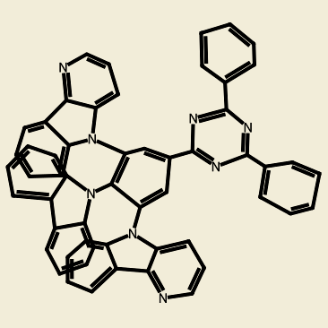 c1ccc(-c2nc(-c3ccccc3)nc(-c3cc(-n4c5ccccc5c5ncccc54)c(-n4c5ccccc5c5ccccc54)c(-n4c5ccccc5c5ncccc54)c3)n2)cc1